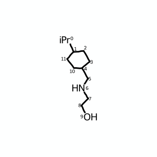 CC(C)C1CCC(CNCCO)CC1